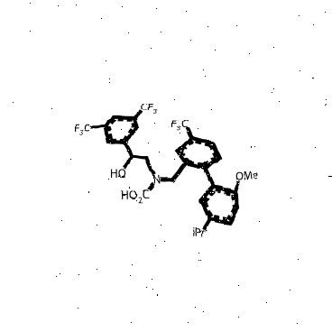 COc1ccc(C(C)C)cc1-c1ccc(C(F)(F)F)cc1CN(CC(O)c1cc(C(F)(F)F)cc(C(F)(F)F)c1)C(=O)O